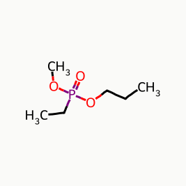 CCCOP(=O)(CC)OC